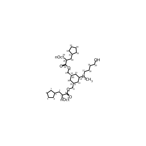 CCCCCCCCC(CC1CCCC1)C(=O)OC[C@@H]1CC(N(C)CCCCO)C[C@H](COC(=O)C(CCCCCCCC)CC2CCCC2)C1